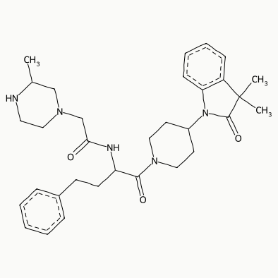 CC1CN(CC(=O)NC(CCc2ccccc2)C(=O)N2CCC(N3C(=O)C(C)(C)c4ccccc43)CC2)CCN1